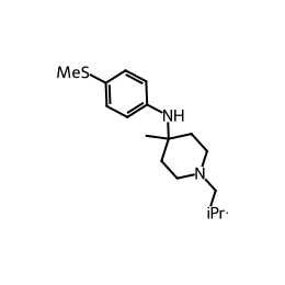 CSc1ccc(NC2(C)CCN(C[C](C)C)CC2)cc1